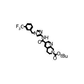 CC(C)(C)OC(=O)N1CCc2cc(C(=O)Nc3cn(Cc4cccc(C(F)(F)F)c4)cn3)cnc2C1